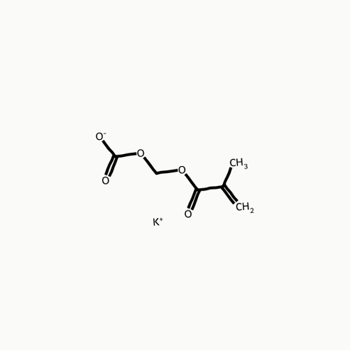 C=C(C)C(=O)OCOC(=O)[O-].[K+]